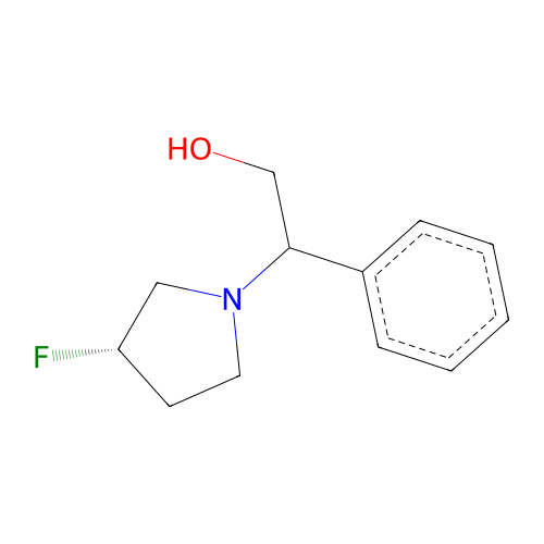 OCC(c1ccccc1)N1CC[C@H](F)C1